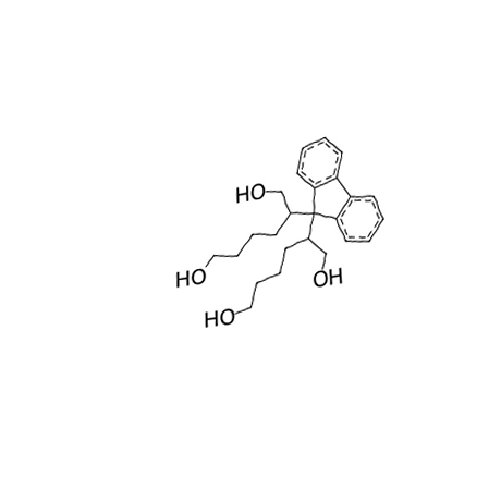 OCCCCC(CO)C1(C(CO)CCCCO)c2ccccc2-c2ccccc21